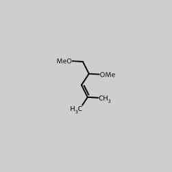 COCC(C=C(C)C)OC